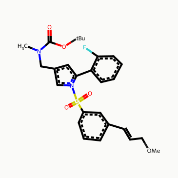 COCC=Cc1cccc(S(=O)(=O)n2cc(CN(C)C(=O)OC(C)(C)C)cc2-c2ccccc2F)c1